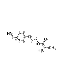 C=C(C)C(=O)OCCOc1ccc(C=N)cc1